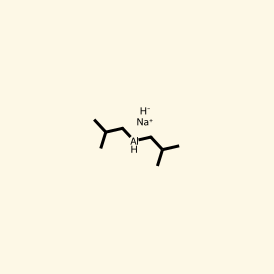 CC(C)[CH2][AlH][CH2]C(C)C.[H-].[Na+]